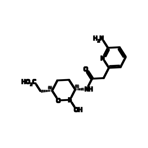 Nc1cccc(CC(=O)N[C@H]2CC[C@@H](CC(=O)O)OB2O)n1